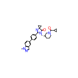 Cn1ncc2cc(-c3ccc(C4=NC5(CC5)C(=O)N4C[C@H]4CCCN(C(=O)C5CC5)C4)cc3)ccc21